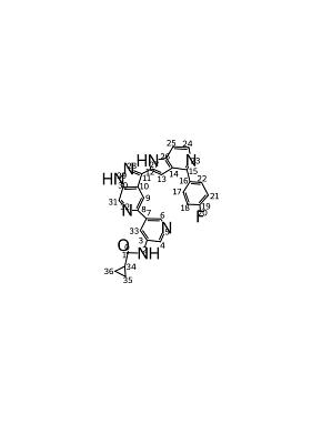 O=C(Nc1cncc(-c2cc3c(-c4cc5c(-c6ccc(F)cc6)nccc5[nH]4)n[nH]c3cn2)c1)C1CC1